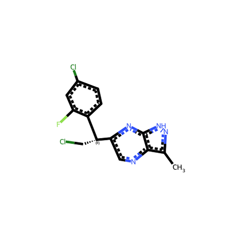 Cc1n[nH]c2nc([C@H](CCl)c3ccc(Cl)cc3F)cnc12